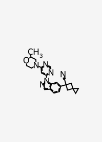 CC1CN(c2cc(-n3ncc4ccc(C5(C#N)CC6(CC6)C5)cc43)ncn2)CCO1